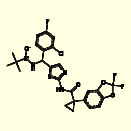 CC(C)(C)[S+]([O-])NC(c1cnc(NC(=O)C2(c3ccc4c(c3)OC(F)(F)O4)CC2)s1)c1ccc(F)cc1Cl